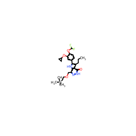 CCCc1c(-c2ccc(OC(F)F)c(OC3CC3)c2)[nH]c2c(COCC[Si](C)(C)C)n[nH]c(=O)c12